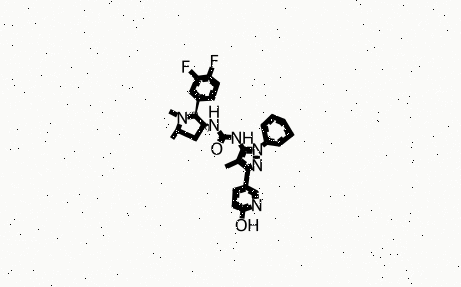 Cc1c(-c2ccc(O)nc2)nn(-c2ccccc2)c1NC(=O)N[C@@H]1CC(C)N(C)[C@H]1c1ccc(F)c(F)c1